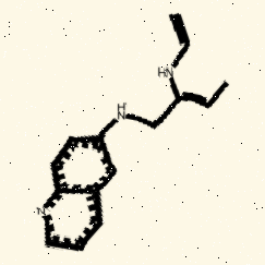 C=CN/C(=C\C)CNc1ccc2ncccc2c1